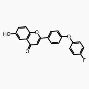 O=c1cc(-c2ccc(Oc3ccc(F)cc3)cc2)oc2ccc(O)cc12